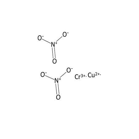 O=[N+]([O-])[O-].O=[N+]([O-])[O-].[Cr+3].[Cu+2]